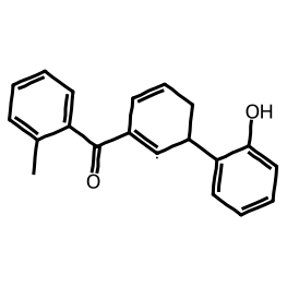 Cc1ccccc1C(=O)C1=[C]C(c2ccccc2O)CC=C1